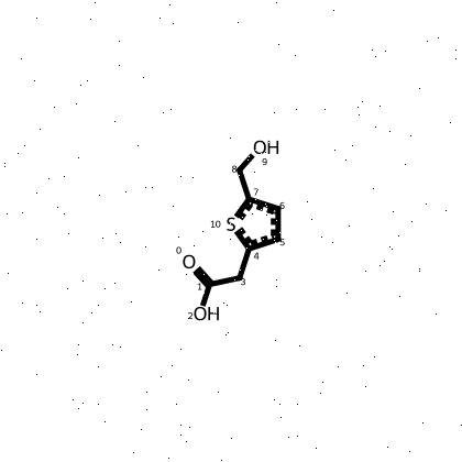 O=C(O)Cc1ccc(CO)s1